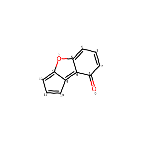 O=C1C=CC=c2oc3c(c21)C=CC=3